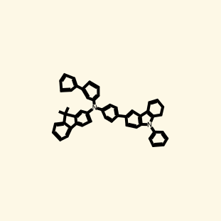 CC1(C)c2ccccc2-c2ccc(N(c3ccc(-c4ccc5c(c4)c4c(n5-c5ccccc5)CCC=C4)cc3)c3cccc(-c4ccccc4)c3)cc21